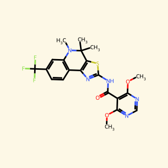 COc1ncnc(OC)c1C(=O)Nc1nc2c(s1)C(C)(C)N(C)c1cc(C(F)(F)F)ccc1-2